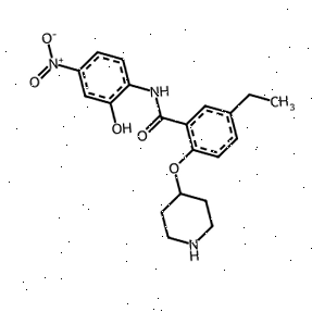 CCc1ccc(OC2CCNCC2)c(C(=O)Nc2ccc([N+](=O)[O-])cc2O)c1